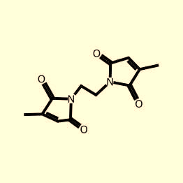 CC1=CC(=O)N(CCN2C(=O)C=C(C)C2=O)C1=O